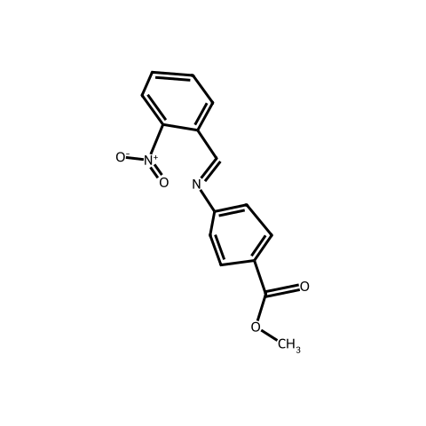 COC(=O)c1ccc(/N=C/c2ccccc2[N+](=O)[O-])cc1